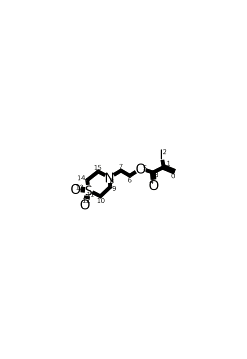 C=C(I)C(=O)OCCN1CCS(=O)(=O)CC1